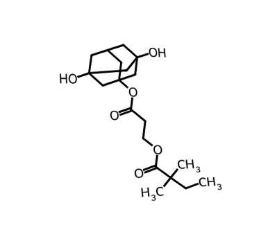 CCC(C)(C)C(=O)OCCC(=O)OC12CC3CC(O)(CC(O)(C3)C1)C2